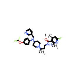 Cc1cc(F)nc(C)c1C(=O)NCCC(C)N1CCC(N(Cc2cccnc2)c2ccc(OC(F)F)cc2)CC1